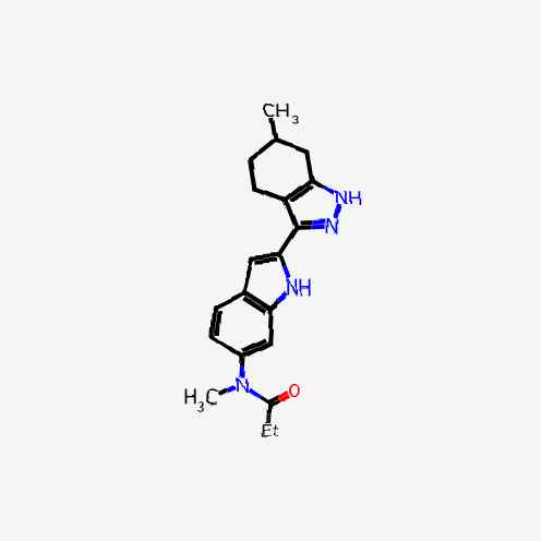 CCC(=O)N(C)c1ccc2cc(-c3n[nH]c4c3CCC(C)C4)[nH]c2c1